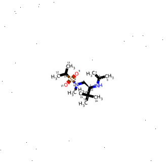 CC(C)N[C@H](CN(C)S(=O)(=O)C(C)C)C(C)(C)C